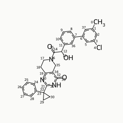 Cc1cc(Cl)cc(-c2cccc(C(O)C(=O)N3CCc4nc(C5(c6ccccc6)CC5)[nH]c(=O)c4C3)c2)c1